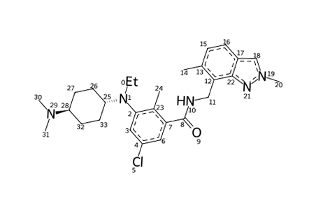 CCN(c1cc(Cl)cc(C(=O)NCc2c(C)ccc3cn(C)nc23)c1C)[C@H]1CC[C@H](N(C)C)CC1